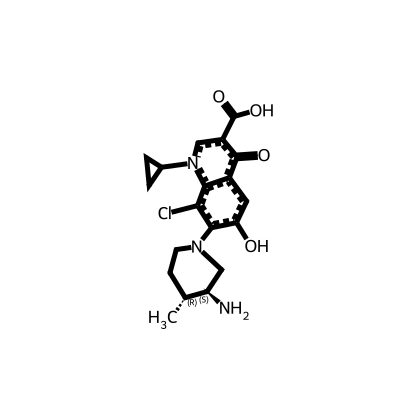 C[C@@H]1CCN(c2c(O)cc3c(=O)c(C(=O)O)cn(C4CC4)c3c2Cl)C[C@H]1N